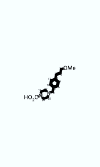 COCC=Cc1ccc(CN2CCN(C(=O)O)CC2)cc1